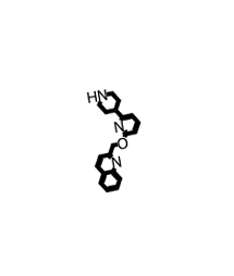 c1cc(OCc2ccc3ccccc3n2)nc(C2CCNCC2)c1